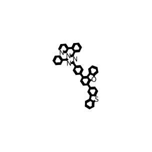 c1ccc(-c2nc(-c3ccc(-c4ccc(-c5ccc6sc7ccccc7c6c5)c5oc6ccccc6c45)cc3)nc(-c3ccccc3-c3cccnc3)n2)cc1